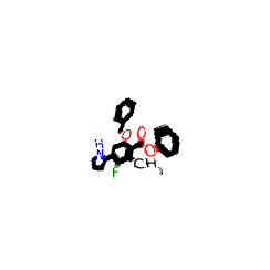 Cc1c(F)c(C2CCCN2)cc(OCc2ccccc2)c1C(=O)Oc1ccccc1